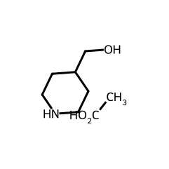 CC(=O)O.OCC1CCNCC1